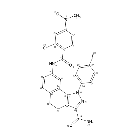 C[S+]([O-])c1ccc(C(=O)Nc2ccc3c(c2)-c2c(c(C(N)=O)nn2-c2ccc(F)cc2)CC3)c(Cl)c1